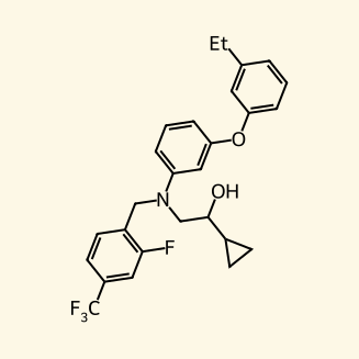 CCc1cccc(Oc2cccc(N(Cc3ccc(C(F)(F)F)cc3F)CC(O)C3CC3)c2)c1